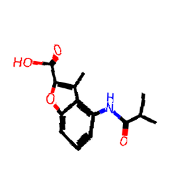 Cc1c(C(=O)O)oc2cccc(NC(=O)C(C)C)c12